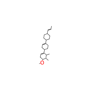 C/C=C/C1CCC(C2=CCC(C3=CCC(OC)C(C)C3C)CC2)CC1